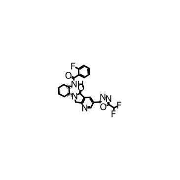 O=C(N[C@@H]1CCCC[C@H]1N1Cc2ncc(-c3nnc(C(F)F)o3)cc2C1=O)c1ccccc1F